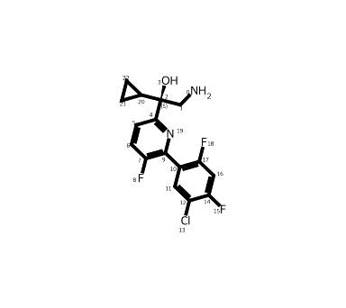 NC[C@](O)(c1ccc(F)c(-c2cc(Cl)c(F)cc2F)n1)C1CC1